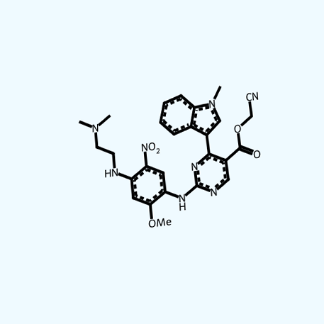 COc1cc(NCCN(C)C)c([N+](=O)[O-])cc1Nc1ncc(C(=O)OCC#N)c(-c2cn(C)c3ccccc23)n1